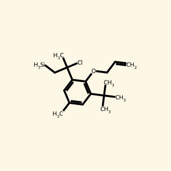 C=CCOc1c(C(C)(C)C)cc(C)cc1C(C)(Cl)C[SiH3]